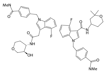 CNC(=O)c1ccc(Cn2cc(C(=O)NC3CCOC(C)(C)C3)c3c(F)cccc32)cc1.CNC(=O)c1ccc(Cn2cc(CC(=O)N[C@H]3CCOC[C@@H]3O)c3c(F)cccc32)cc1